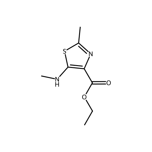 CCOC(=O)c1nc(C)sc1NC